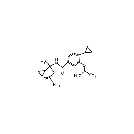 CC(C)Oc1cc(C(=O)N[C@](C)(CC(N)=O)C2CC2)ccc1C1CC1